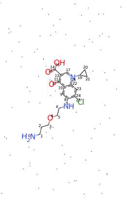 NCCCOCCNc1cc2c(=O)c(C(=O)O)cn(C3CC3)c2cc1Cl